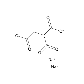 O=C([O-])CC(C(=O)[O-])P(=O)=O.[Na+].[Na+]